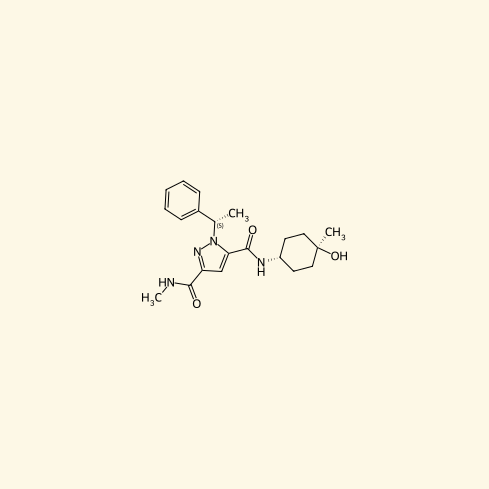 CNC(=O)c1cc(C(=O)N[C@H]2CC[C@](C)(O)CC2)n([C@@H](C)c2ccccc2)n1